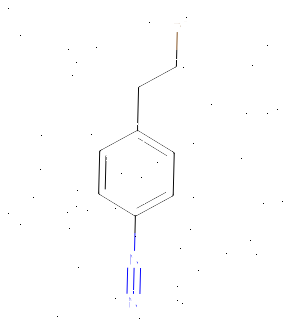 N#[N+]c1ccc(CCBr)cc1